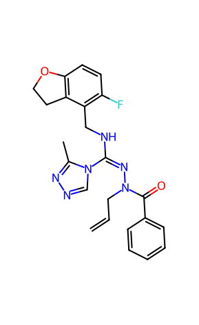 C=CCN(/N=C(/NCc1c(F)ccc2c1CCO2)n1cnnc1C)C(=O)c1ccccc1